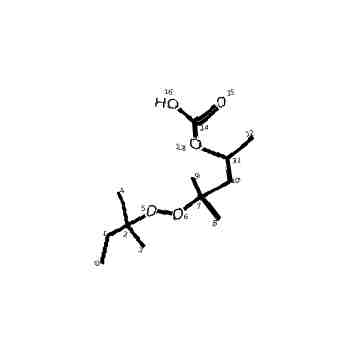 CCC(C)(C)OOC(C)(C)CC(C)OC(=O)O